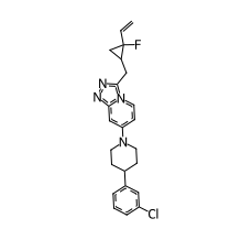 C=CC1(F)CC1Cc1nnc2cc(N3CCC(c4cccc(Cl)c4)CC3)ccn12